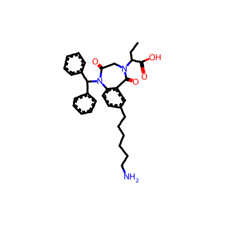 CCC(C(=O)O)N1CC(=O)N(C(c2ccccc2)c2ccccc2)c2ccc(CCCCCCN)cc2C1=O